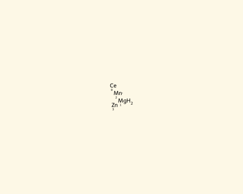 [Ce].[MgH2].[Mn].[Zn]